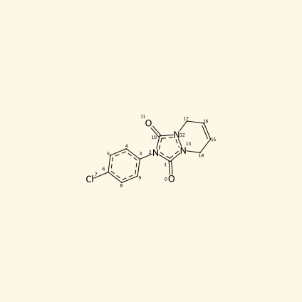 O=c1n(-c2ccc(Cl)cc2)c(=O)n2n1CC=CC2